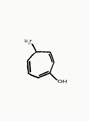 CC1C=CC=C(O)C=C1